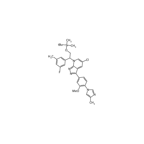 COc1cc(-c2nnc3n(C(CO[Si](C)(C)C(C)(C)C)c4cc(C)cc(F)c4)cc(Cl)cc2-3)ccc1-n1cnc(C)c1